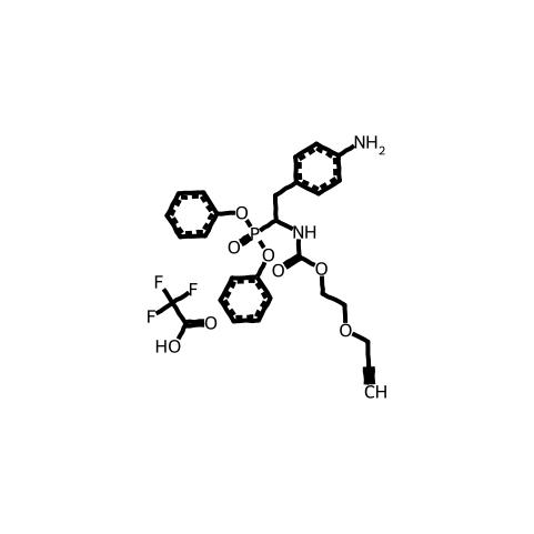 C#CCOCCOC(=O)NC(Cc1ccc(N)cc1)P(=O)(Oc1ccccc1)Oc1ccccc1.O=C(O)C(F)(F)F